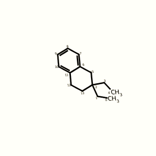 CCC1(CC)[CH]c2ccccc2CC1